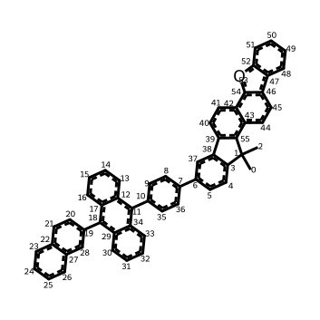 CC1(C)c2ccc(-c3ccc(-c4c5ccccc5c(-c5ccc6ccccc6c5)c5ccccc45)cc3)cc2-c2ccc3c(ccc4c5ccccc5oc34)c21